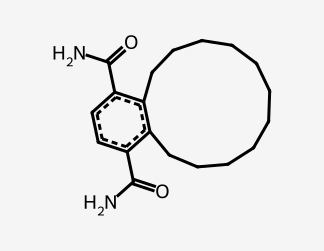 NC(=O)c1ccc(C(N)=O)c2c1CCCCCCCCCCC2